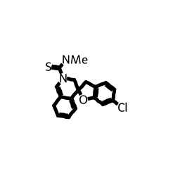 CNC(=S)N1C=C2CC=CC=C2C2(Cc3ccc(Cl)cc3O2)C1